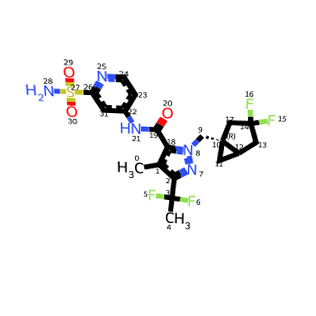 Cc1c(C(C)(F)F)nn(C[C@@]23CC2CC(F)(F)C3)c1C(=O)Nc1ccnc(S(N)(=O)=O)c1